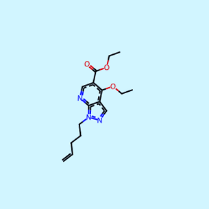 C=CCCCn1ncc2c(OCC)c(C(=O)OCC)cnc21